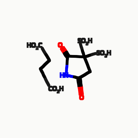 O=C(O)CCC(=O)O.O=C1CC(S(=O)(=O)O)(S(=O)(=O)O)C(=O)N1